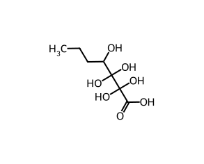 CCCC(O)C(O)(O)C(O)(O)C(=O)O